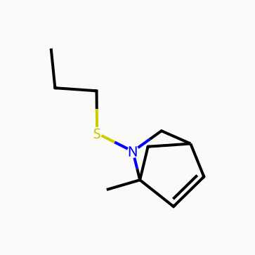 CCCSN1CC2C=CC1(C)C2